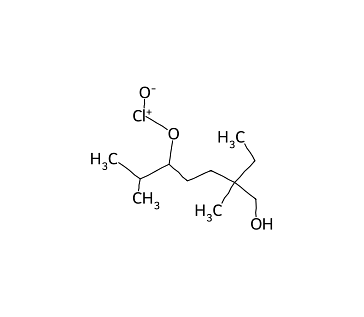 CCC(C)(CO)CCC(O[Cl+][O-])C(C)C